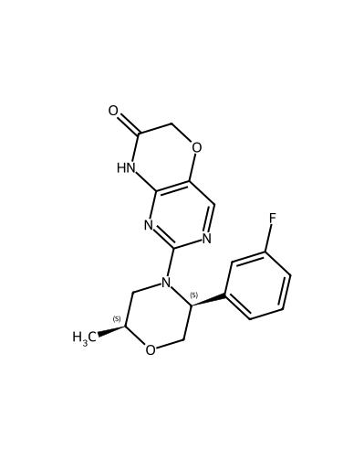 C[C@H]1CN(c2ncc3c(n2)NC(=O)CO3)[C@@H](c2cccc(F)c2)CO1